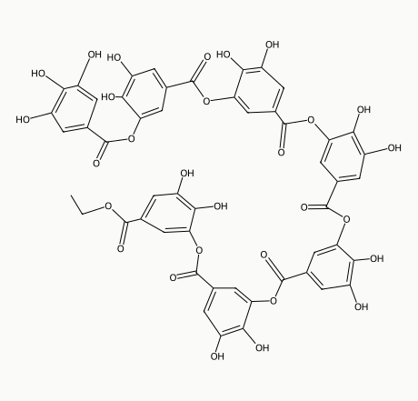 CCOC(=O)c1cc(O)c(O)c(OC(=O)c2cc(O)c(O)c(OC(=O)c3cc(O)c(O)c(OC(=O)c4cc(O)c(O)c(OC(=O)c5cc(O)c(O)c(OC(=O)c6cc(O)c(O)c(OC(=O)c7cc(O)c(O)c(O)c7)c6)c5)c4)c3)c2)c1